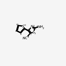 N#Cc1sc(N)nc1-c1cccs1